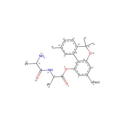 CCCCCc1cc(OC(=O)C(NC(=O)C(N)C(C)C)C(C)C)c2c(c1)OC(C)(C)c1ccc(C)cc1-2